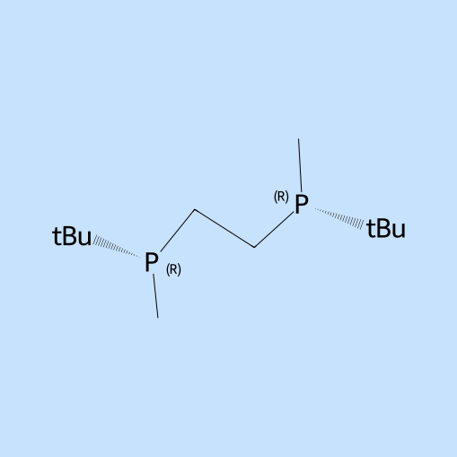 C[P@@](CC[P@](C)C(C)(C)C)C(C)(C)C